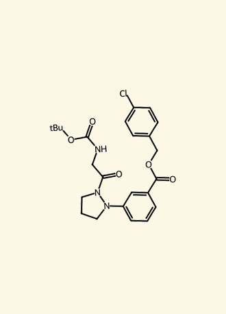 CC(C)(C)OC(=O)NCC(=O)N1CCCN1c1cccc(C(=O)OCc2ccc(Cl)cc2)c1